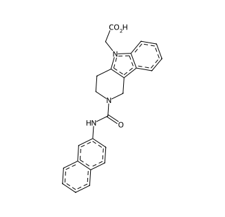 O=C(O)Cn1c2c(c3ccccc31)CN(C(=O)Nc1ccc3ccccc3c1)CC2